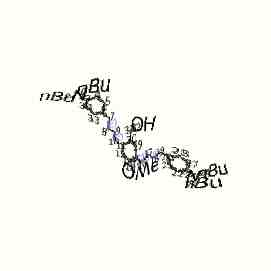 CCCCN(CCCC)c1ccc(/C=C/C=C/c2cc(OC)c(/C=C/C=C/c3ccc(N(CCCC)CCCC)cc3)cc2CO)cc1